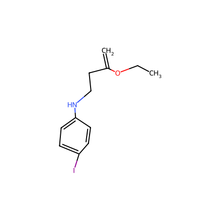 C=C(CCNc1ccc(I)cc1)OCC